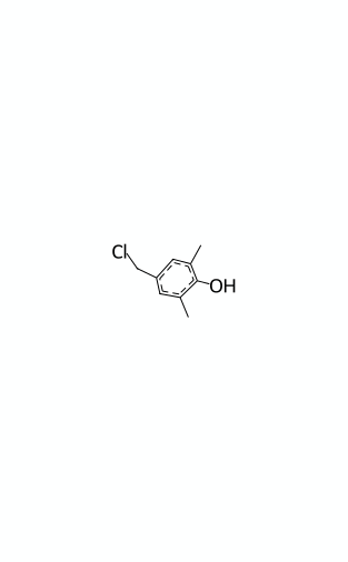 Cc1cc(CCl)cc(C)c1O